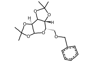 CC1(C)OC2O[C@@H](COCc3ccccc3)[C@H]3OC(C)(C)OC3[C@@H]2O1